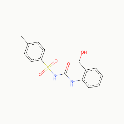 Cc1ccc(S(=O)(=O)NC(=O)Nc2ccccc2CO)cc1